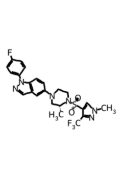 C[C@@H]1CN(c2ccc3c(cnn3-c3ccc(F)cc3)c2)CCN1S(=O)(=O)c1cn(C)nc1C(F)(F)F